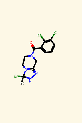 CCC1(Br)NN=C2CN(C(=O)c3cccc(Cl)c3Cl)CCN21